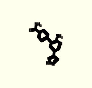 NC(=O)c1ccc(-c2cc(-c3cn[nH]c3)cnc2N)cc1